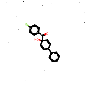 O=C(c1ccc(F)cc1)C1(O)C=CC(c2ccccc2)C=C1